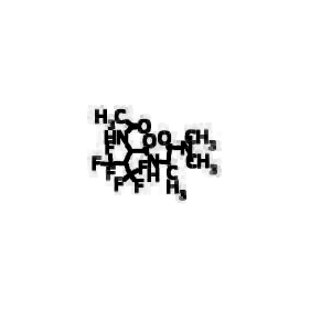 CC(=O)NC(C(=O)N[C@@H](C)C(=O)N(C)C)C(C(F)(F)F)C(F)(F)F